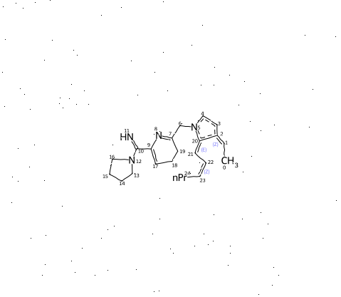 C/C=c1/ccn(CC2=NC(C(=N)N3CCCC3)=CCC2)/c1=C/C=C\CCC